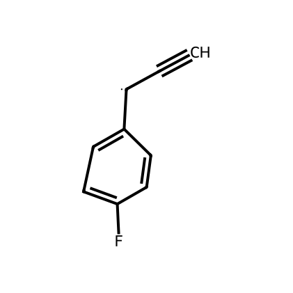 C#C[CH]c1ccc(F)cc1